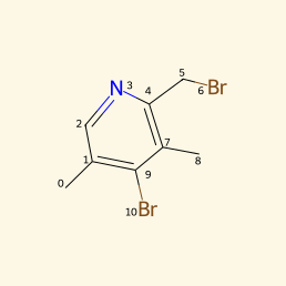 Cc1cnc(CBr)c(C)c1Br